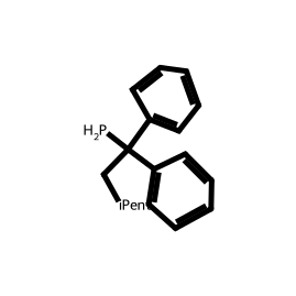 CCCC(C)CC(P)(c1ccccc1)c1ccccc1